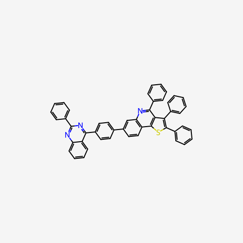 c1ccc(-c2nc(-c3ccc(-c4ccc5c(c4)nc(-c4ccccc4)c4c(-c6ccccc6)c(-c6ccccc6)sc45)cc3)c3ccccc3n2)cc1